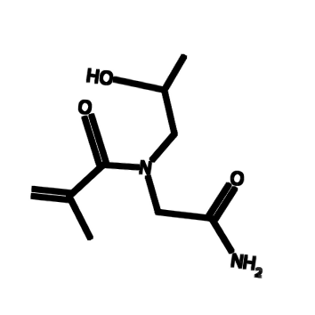 C=C(C)C(=O)N(CC(N)=O)CC(C)O